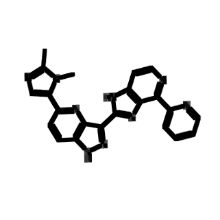 Cc1ncc(-c2ccc3[nH]nc(-c4nc5c(-c6ccccn6)nccc5[nH]4)c3n2)n1C